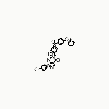 O=C(c1ccc(Oc2ccccn2)cc1)N1CCC(O)(Cn2cnc3c(cnn3-c3ccc(Cl)cc3)c2=O)CC1